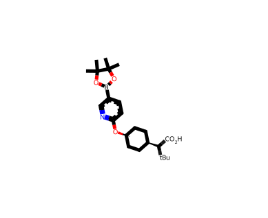 CC(C)(C)C(C(=O)O)[C@H]1CC[C@@H](Oc2ccc(B3OC(C)(C)C(C)(C)O3)cn2)CC1